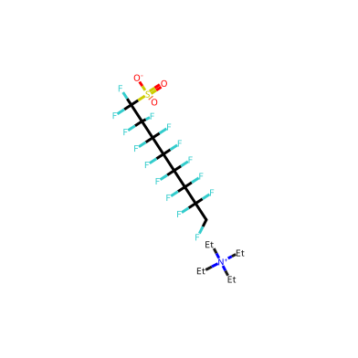 CC[N+](CC)(CC)CC.O=S(=O)([O-])C(F)(F)C(F)(F)C(F)(F)C(F)(F)C(F)(F)C(F)(F)C(F)(F)CF